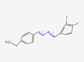 CCc1ccc(/C=N/N=C/c2ccc(F)c(F)c2)cc1